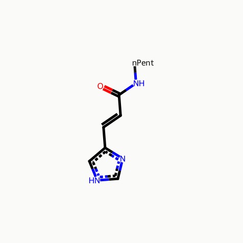 CCCCCNC(=O)C=Cc1c[nH]cn1